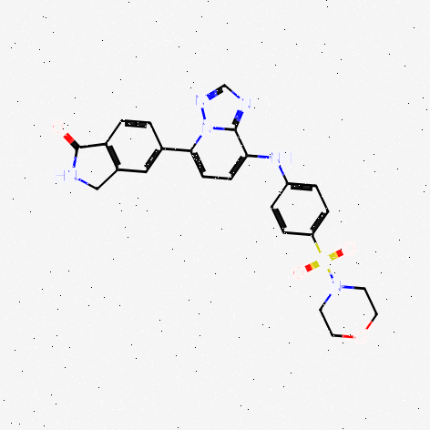 O=C1NCc2cc(-c3ccc(Nc4ccc(S(=O)(=O)N5CCOCC5)cc4)c4ncnn34)ccc21